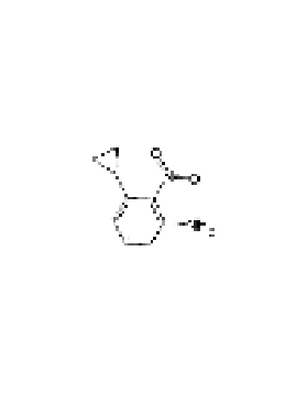 Nc1cccc(C2CC2)c1[N+](=O)[O-]